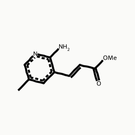 COC(=O)/C=C/c1cc(C)cnc1N